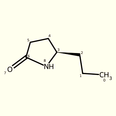 CCC[C@@H]1CCC(=O)N1